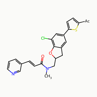 CC(=O)c1ccc(-c2cc(Cl)c3c(c2)CC(CN(C)C(=O)C=Cc2cccnc2)O3)s1